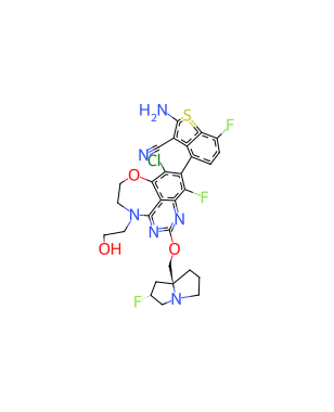 N#Cc1c(N)sc2c(F)ccc(-c3c(Cl)c4c5c(nc(OC[C@@]67CCCN6C[C@H](F)C7)nc5c3F)N(CCO)CCO4)c12